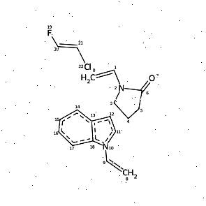 C=CN1CCCC1=O.C=Cn1ccc2ccccc21.FC=CCl